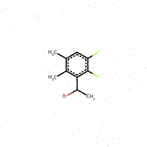 Cc1cc(F)c(F)c(C(C)Br)c1C